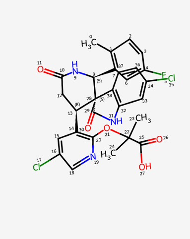 Cc1ccc(F)cc1[C@@H]1NC(=O)C[C@H](c2cc(Cl)cnc2OC(C)(C)C(=O)O)[C@@]12C(=O)Nc1cc(Cl)ccc12